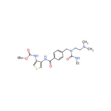 CCNC(=O)N(CCN(C)C)Cc1ccc(C(=O)Nc2cscc2NC(=O)OC(C)(C)C)cc1